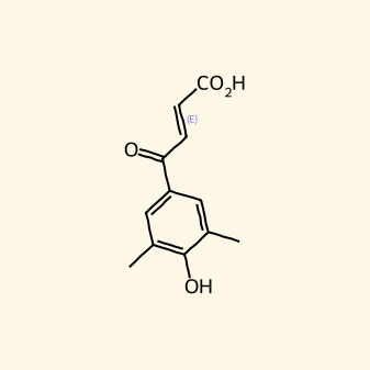 Cc1cc(C(=O)/C=C/C(=O)O)cc(C)c1O